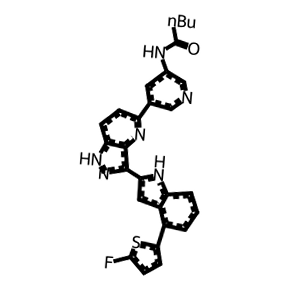 CCCCC(=O)Nc1cncc(-c2ccc3[nH]nc(-c4cc5c(-c6ccc(F)s6)cccc5[nH]4)c3n2)c1